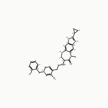 CN1C(=O)[C@@H](NCCC2=CCN(Cc3ccccc3F)C=C2Cl)COc2cc3oc(C4CC4)nc3cc21